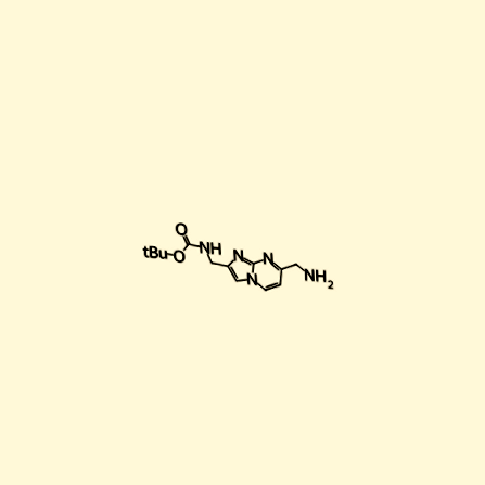 CC(C)(C)OC(=O)NCc1cn2ccc(CN)nc2n1